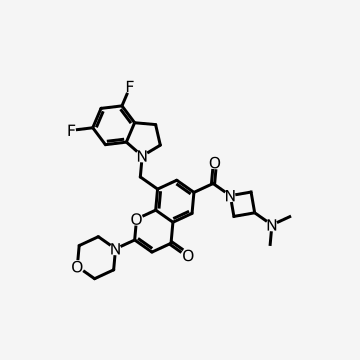 CN(C)C1CN(C(=O)c2cc(CN3CCc4c(F)cc(F)cc43)c3oc(N4CCOCC4)cc(=O)c3c2)C1